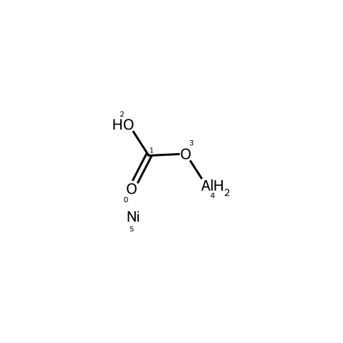 O=C(O)[O][AlH2].[Ni]